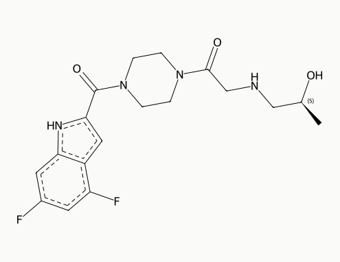 C[C@H](O)CNCC(=O)N1CCN(C(=O)c2cc3c(F)cc(F)cc3[nH]2)CC1